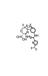 CC1(c2cc(NC(=O)c3ccn(C(F)F)n3)ccc2F)N=C(N)COCC1(F)F.O=CO